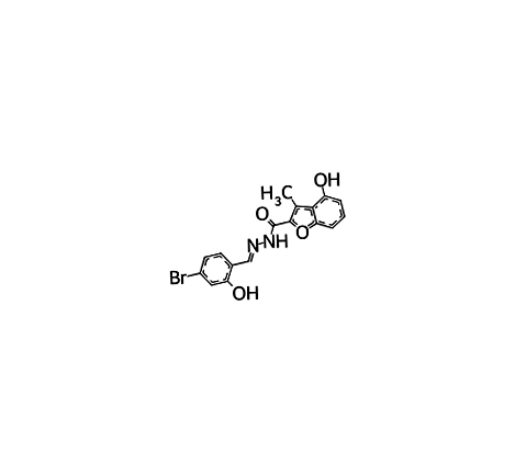 Cc1c(C(=O)NN=Cc2ccc(Br)cc2O)oc2cccc(O)c12